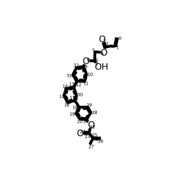 C=CC(=O)OCC(O)Oc1ccc(-c2cccc(-c3ccc(OC(=O)C(=C)C)cc3)c2)cc1